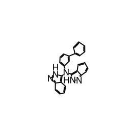 c1ccc(-c2cccc(N(c3[nH]nc4ccccc34)c3[nH]nc4ccccc34)c2)cc1